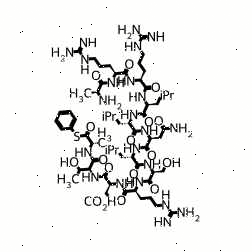 CC(C)C[C@H](NC(=O)[C@H](CCCNC(=N)N)NC(=O)[C@H](CCCNC(=N)N)NC(=O)[C@H](C)N)C(=O)N[C@@H](CC(C)C)C(=O)N[C@@H](CC(N)=O)C(=O)N[C@@H](CC(C)C)C(=O)N[C@@H](CO)C(=O)N[C@@H](CCCNC(=N)N)C(=O)N[C@@H](CC(=O)O)C(=O)N[C@H](C(=O)N[C@@H](C)C(=O)Sc1ccccc1)C(C)O